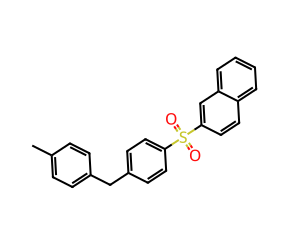 Cc1ccc(Cc2ccc(S(=O)(=O)c3ccc4ccccc4c3)cc2)cc1